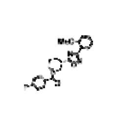 COc1ccccc1-c1noc([C@H]2CCCN(C(=O)c3ccc(F)cc3)C2)n1